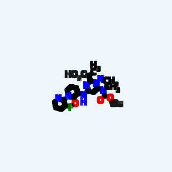 C=NN1C(N(C)C(=O)OC(C)(C)C)=CC(Nc2cccn(-c3ncccc3F)c2=O)=N/C1=C(/C)C(=O)O